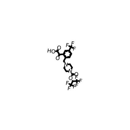 O=C(O)C(=O)c1cc(C(F)(F)F)ccc1CN1CCN(C(=O)OC(C(F)(F)F)C(F)(F)F)CC1